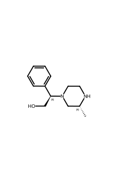 C[C@@H]1CN([C@@H](CO)c2ccccc2)CCN1